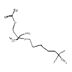 CCC(=O)OCC(C)(C)SCCCCCC(C)(F)F